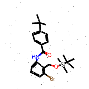 CC(C)(C)c1ccc(C(=O)Nc2cccc(Br)c2CO[Si](C)(C)C(C)(C)C)cc1